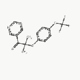 CC(C)(Oc1ccc(OC(F)(F)F)cc1)C(=O)c1cncnc1